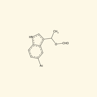 CC(=O)c1ccc2[nH]cc(C(C)OC=O)c2c1